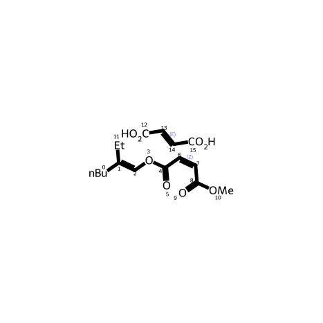 CCCCC(=COC(=O)/C=C\C(=O)OC)CC.O=C(O)/C=C/C(=O)O